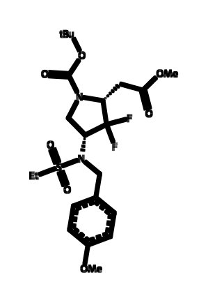 CCS(=O)(=O)N(Cc1ccc(OC)cc1)[C@@H]1CN(C(=O)OC(C)(C)C)[C@H](CC(=O)OC)C1(F)F